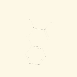 CCC(=O)N(C)Oc1ccccc1